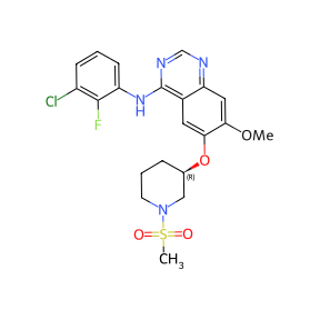 COc1cc2ncnc(Nc3cccc(Cl)c3F)c2cc1O[C@@H]1CCCN(S(C)(=O)=O)C1